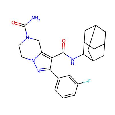 NC(=O)N1CCn2nc(-c3cccc(F)c3)c(C(=O)NC3C4CC5CC(C4)CC3C5)c2C1